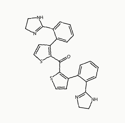 O=C(c1sccc1-c1ccccc1C1=NCCN1)c1sccc1-c1ccccc1C1=NCCN1